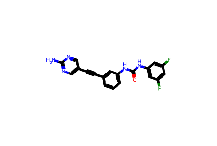 Nc1ncc(C#Cc2cccc(NC(=O)Nc3cc(F)cc(F)c3)c2)cn1